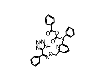 Cn1nnnc1C(=NOCc1cccc(N(C(=O)OC(=O)c2ccccc2)c2ccccc2)n1)c1ccccc1